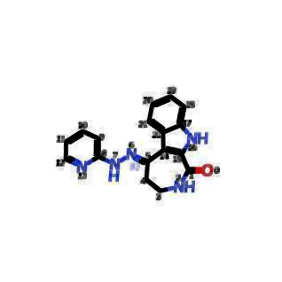 O=C1NCC/C(=N\Nc2ccccn2)c2c1[nH]c1ccccc21